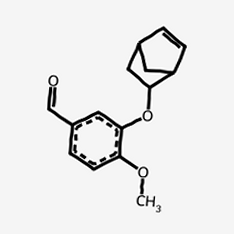 COc1ccc(C=O)cc1OC1CC2C=CC1C2